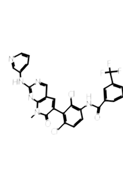 Cn1c(=O)c(-c2c(Cl)ccc(NC(=O)c3cccc(C(F)(F)F)c3)c2Cl)cc2cnc(Nc3cccnc3)nc21